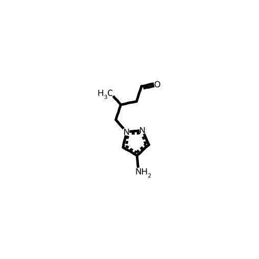 CC(CC=O)Cn1cc(N)cn1